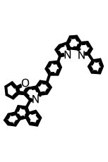 C1=c2oc3c(c(-c4cc5ccccc5c5ccccc45)nc4ccc(-c5ccc(-c6ccc7ccc8ccc(-c9ccccc9)nc8c7n6)cc5)cc43)c2=CCC1